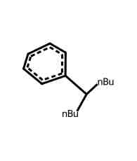 CCCCC(CCCC)c1ccccc1